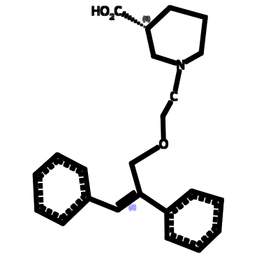 O=C(O)[C@@H]1CCCN(CCOC/C(=C\c2ccccc2)c2ccccc2)C1